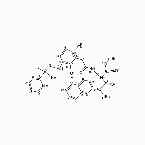 CC(C)(C)OC(=O)N(C(=O)OC(C)(C)C)C(NC(=O)Cc1c(C#N)ccc(NCC(F)(F)c2ccccn2)[n+]1[O-])c1ccc2ccncc2c1